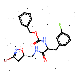 O=C(NC(Cc1cccc(F)c1)C(=O)NC[C@@H]1CC(Br)=NO1)OCc1ccccc1